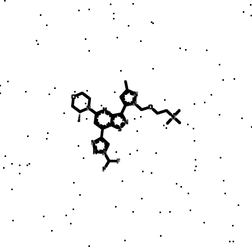 Cc1cc(-c2nsc3c(-c4cn(C(F)F)nn4)cc(N4CCOC[C@H]4C)nc23)n(COCC[Si](C)(C)C)n1